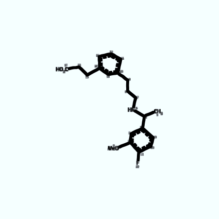 COc1cc(C(C)NCCCc2cccc(CCC(=O)O)c2)ccc1F